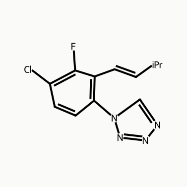 CC(C)/C=C/c1c(-n2cnnn2)ccc(Cl)c1F